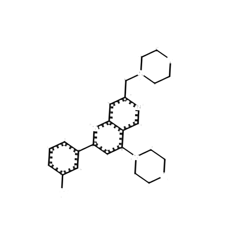 Oc1cccc(-c2cc(N3CCOCC3)c3cnc(CN4CCOCC4)cc3n2)c1